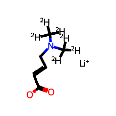 [2H]C([2H])([2H])N(C/C=C/C(=O)[O-])C([2H])([2H])[2H].[Li+]